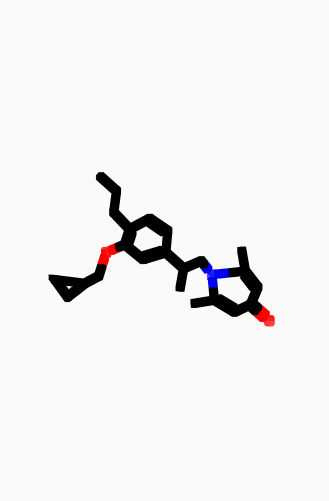 CCCc1ccc(C(C)Cn2c(C)cc(=O)cc2C)cc1OCC1CC1